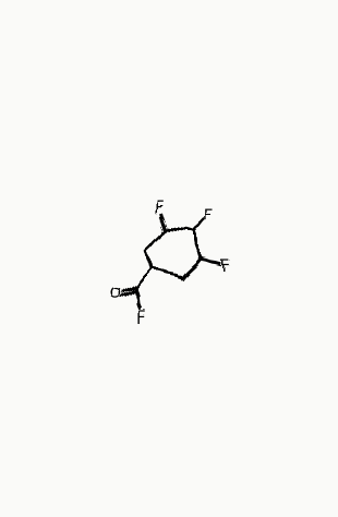 O=C(F)C1CC(F)C(F)C(F)C1